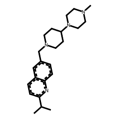 CC(C)c1ccc2cc(CN3CCC(N4CCN(C)CC4)CC3)ccc2n1